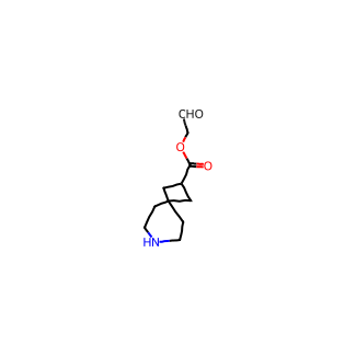 O=CCOC(=O)C1CC2(CCNCC2)C1